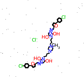 C[N+]1(CCCCN2C(O)CN(N=Cc3ccc(-c4ccc(Cl)cc4)o3)C2O)CCN(CCCCN2C(O)CN(N=Cc3ccc(-c4ccc(Cl)cc4)o3)C2O)CC1.[Cl-]